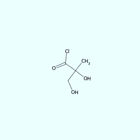 CC(O)(CO)C(=O)Cl